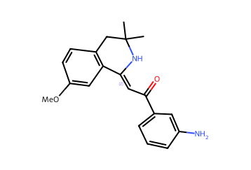 COc1ccc2c(c1)/C(=C/C(=O)c1cccc(N)c1)NC(C)(C)C2